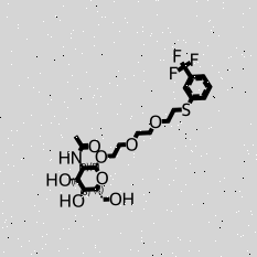 CC(=O)N[C@H]1[C@@H](OCCOCCOCCSc2cccc(C(F)(F)F)c2)O[C@H](CO)[C@@H](O)[C@@H]1O